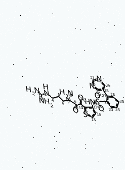 NC(N)NCCC[C@H](N)C(=O)C(=O)c1sccc1NS(=O)(=O)c1ccccc1-c1cncnc1